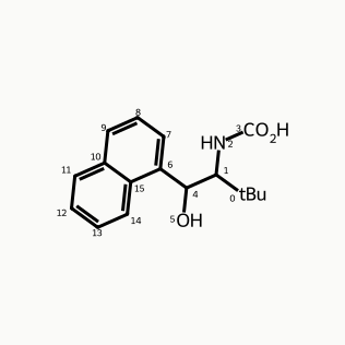 CC(C)(C)C(NC(=O)O)C(O)c1cccc2ccccc12